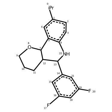 CC(C)c1ccc2c(c1)C1OCCCC1C(c1cc(F)cc(F)c1)N2